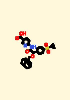 O=C(O)c1ccc(NC(=O)C(OCC23CC4CC(CC(C4)C2)C3)c2ccc(S(=O)(=O)C3CC3)cc2)nc1